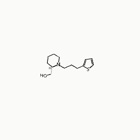 OC[C@@H]1CCCCN1CCCc1cccs1